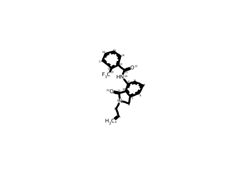 C=CCN1Cc2cccc(NC(=O)c3ccccc3C(F)(F)F)c2C1=O